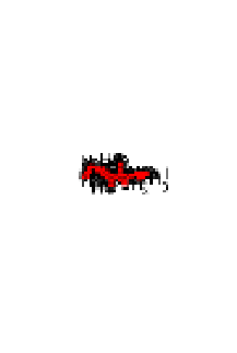 Cc1cc(N=Nc2c(SOOO)cc3c(S(=O)(=O)O)c(N=Nc4c(C)c(C#N)c5nc6ccccc6n5c4O)ccc3c2O)c(OCCCS(=O)(=O)O)cc1N=Nc1nc2cc(SOOO)c(C)cc2s1